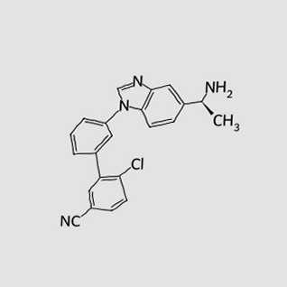 C[C@H](N)c1ccc2c(c1)ncn2-c1cccc(-c2cc(C#N)ccc2Cl)c1